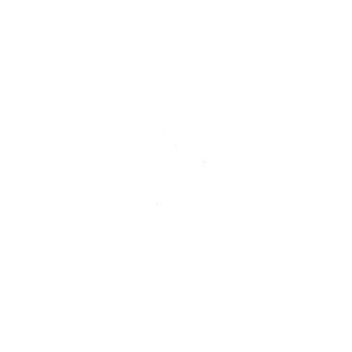 CC(=O)CC(=O)O.CCC=C(C)C(=O)O